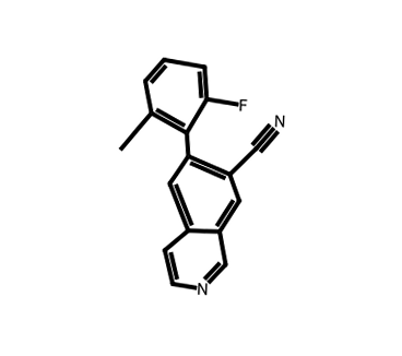 Cc1cccc(F)c1-c1cc2ccncc2cc1C#N